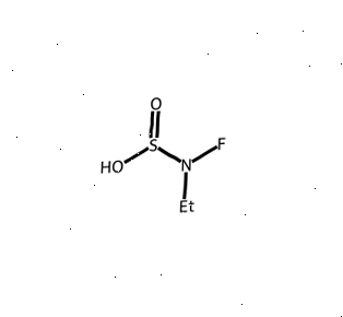 CCN(F)S(=O)O